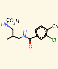 CC(CNC(=O)O)CNC(=O)c1ccc(C#N)c(Cl)c1